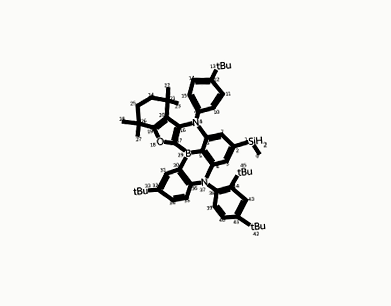 C[SiH2]c1cc2c3c(c1)N(c1ccc(C(C)(C)C)cc1)c1c(oc4c1C(C)(C)CCC4(C)C)B3c1cc(C(C)(C)C)ccc1N2c1ccc(C(C)(C)C)cc1C(C)(C)C